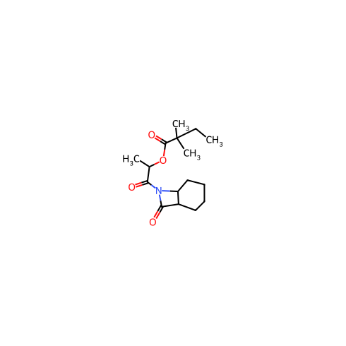 CCC(C)(C)C(=O)OC(C)C(=O)N1C(=O)C2CCCCC21